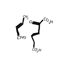 CC=CC=O.O=C(O)CCC(=O)C(=O)O